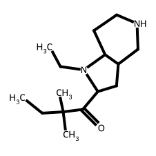 CCN1C(C(=O)C(C)(C)CC)CC2CNCCC21